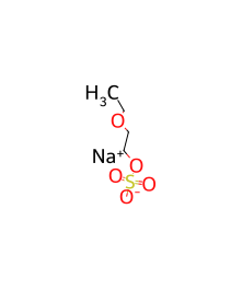 CCOCCOS(=O)(=O)[O-].[Na+]